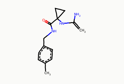 C=C(N)NC1(C(=O)NCc2ccc(C)cc2)CC1